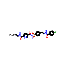 COCCNC(=O)c1ccc(C(=O)NS(=O)(=O)c2ccc(CCNC(=O)c3ccc(Cl)cc3)cc2)cn1